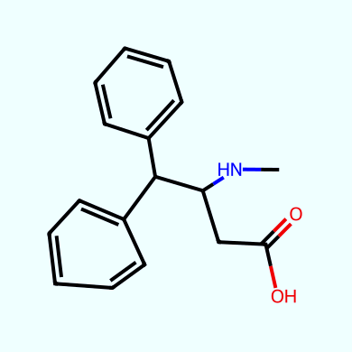 CNC(CC(=O)O)C(c1ccccc1)c1ccccc1